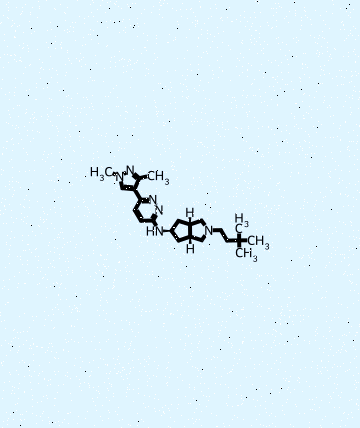 Cc1nn(C)cc1-c1ccc(N[C@H]2C[C@@H]3CN(CCC(C)(C)C)C[C@@H]3C2)nn1